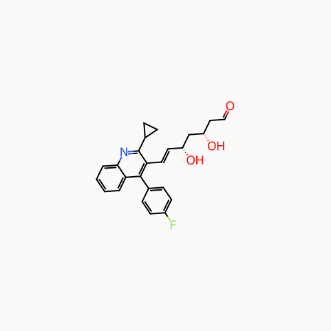 O=CC[C@H](O)C[C@H](O)/C=C/c1c(C2CC2)nc2ccccc2c1-c1ccc(F)cc1